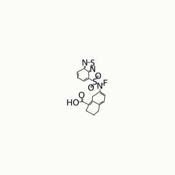 O=C(O)C1=C2CC(N(F)S(=O)(=O)c3cccc4nsnc34)=CC=C2CCC1